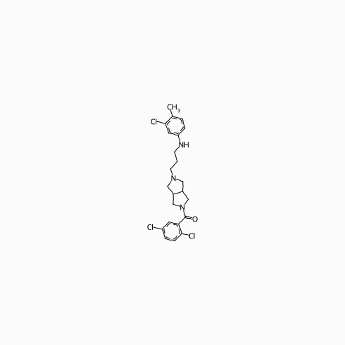 Cc1ccc(NCCCN2CC3CN(C(=O)c4cc(Cl)ccc4Cl)CC3C2)cc1Cl